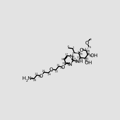 CCC[C@H]1O[C@H](COC)[C@H](O)[C@H](O)[C@H]1Nc1nccc(OCCOCCOCCN)n1